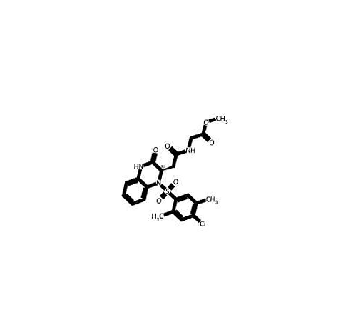 COC(=O)CNC(=O)C[C@@H]1C(=O)Nc2ccccc2N1S(=O)(=O)c1cc(C)c(Cl)cc1C